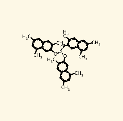 Cc1cc(C)c2cc(OP(Oc3cc4c(C)cc(C)cc4cc3C)Oc3cc4c(C)cc(C)cc4cc3C)c(C)cc2c1